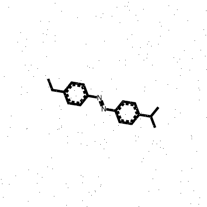 CCc1ccc(N=Nc2ccc(C(C)C)cc2)cc1